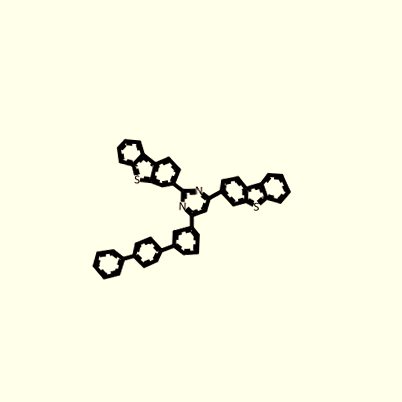 c1ccc(-c2ccc(-c3cccc(-c4cc(-c5ccc6c(c5)sc5ccccc56)nc(-c5ccc6c(c5)sc5ccccc56)n4)c3)cc2)cc1